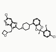 C[C@]1(c2ccc(Cl)cc2F)Oc2cccc(C3CCN(Cc4nc5cc(Cl)nnc5n4C[C@@H]4CCO4)CC3)c2O1